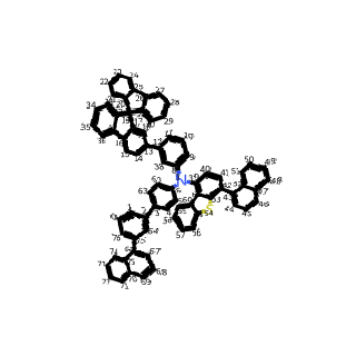 c1cc(-c2ccc(N(c3cccc(-c4ccc5c(c4)C4(c6ccccc6-c6ccccc64)c4ccccc4-5)c3)c3ccc(-c4cccc5ccccc45)c4sc5ccccc5c34)cc2)cc(-c2cccc3ccccc23)c1